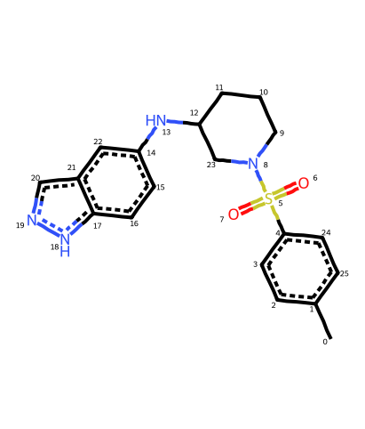 Cc1ccc(S(=O)(=O)N2CCCC(Nc3ccc4[nH]ncc4c3)C2)cc1